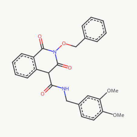 COc1ccc(CNC(=O)C2C(=O)N(OCc3ccccc3)C(=O)c3ccccc32)cc1OC